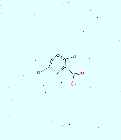 O=C(O)c1cc(Cl)ccc1Cl